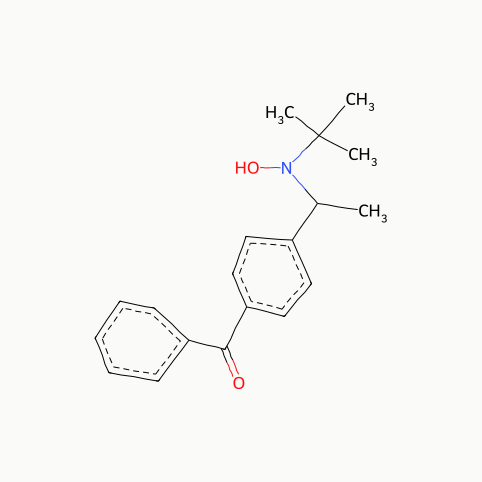 CC(c1ccc(C(=O)c2ccccc2)cc1)N(O)C(C)(C)C